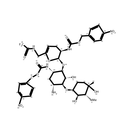 CN[C@@H]1[C@@H](O)[C@@H](O[C@@H]2[C@@H](O)[C@H](O[C@H]3OC(CNC(=O)C(F)(F)F)=CC[C@H]3NC(=O)OCc3ccc([N+](=O)[O-])cc3)[C@@H](NC(=O)OCc3ccc([N+](=O)[O-])cc3)C[C@H]2N)CC[C@]1(C)O